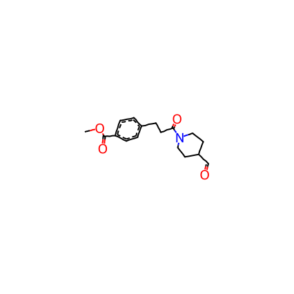 COC(=O)c1ccc(CCC(=O)N2CCC(C=O)CC2)cc1